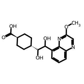 COc1cnc2cccc(C(O)C(O)[C@H]3CC[C@H](C(=O)O)CC3)c2n1